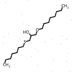 CCCCCCCCOCC(O)CSCCCCCCC